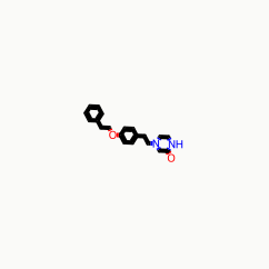 O=C1CN(CCc2ccc(OCCc3ccccc3)cc2)CCN1